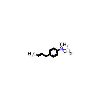 CC=CCc1ccc(N(C)C)cc1